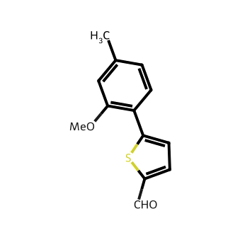 COc1cc(C)ccc1-c1ccc(C=O)s1